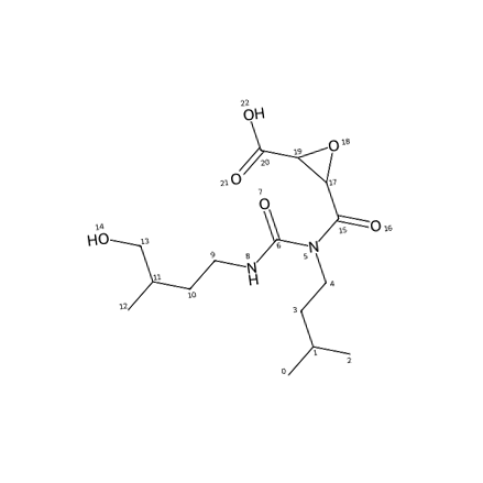 CC(C)CCN(C(=O)NCCC(C)CO)C(=O)C1OC1C(=O)O